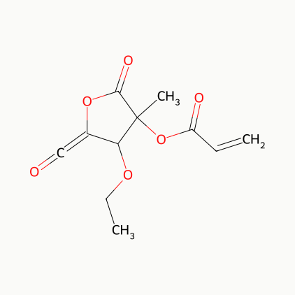 C=CC(=O)OC1(C)C(=O)OC(=C=O)C1OCC